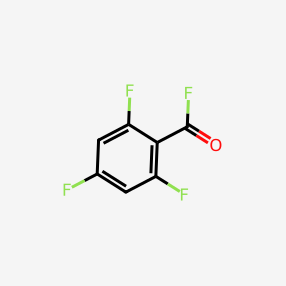 O=C(F)c1c(F)cc(F)cc1F